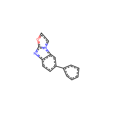 c1ccc(-c2ccc3nc4occn4c3c2)cc1